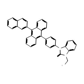 CC(C)Cn1c(=O)n(-c2ccc(-c3c4ccccc4c(-c4ccc5ccccc5c4)c4ccccc34)cc2)c2ccccc21